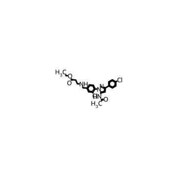 CCOC(=O)CCNCc1ccc(-n2nc(-c3ccc(Cl)cc3)cc2NC(C)=O)c(Cl)c1